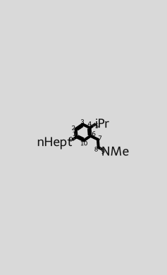 CCCCCCCc1ccc(C(C)C)c(CCNC)c1